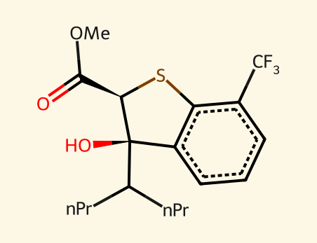 CCCC(CCC)[C@@]1(O)c2cccc(C(F)(F)F)c2S[C@@H]1C(=O)OC